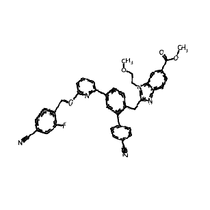 COCCn1c(Cc2ccc(-c3cccc(OCc4ccc(C#N)cc4F)n3)cc2-c2ccc(C#N)cc2)nc2ccc(C(=O)OC)cc21